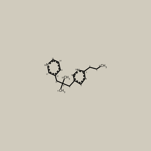 CCCc1ccc(CC(C)(C)Cc2cccnc2)cn1